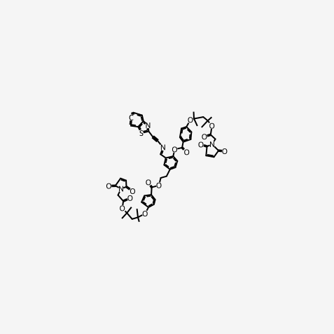 CC(C)(CC(C)(C)Oc1ccc(C(=O)OCCc2ccc(OC(=O)c3ccc(OC(C)(C)CC(C)(C)OC(=O)CN4C(=O)C=CC4=O)cc3)c(/C=N/C#Cc3nc4ccccc4s3)c2)cc1)OC(=O)CN1C(=O)C=CC1=O